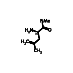 C=C(C)C[C@@H](N)C(=O)NC